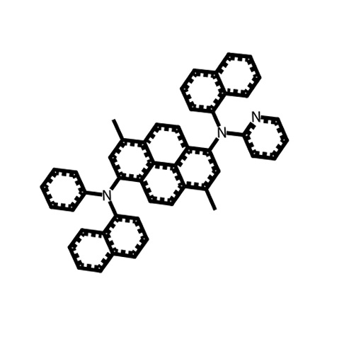 Cc1cc(N(c2ccccc2)c2cccc3ccccc23)c2ccc3c(C)cc(N(c4ccccn4)c4cccc5ccccc45)c4ccc1c2c34